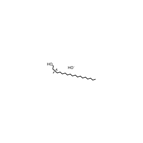 CCCCCCCCCCCCCCCC[N+](C)(C)CCO.[OH-]